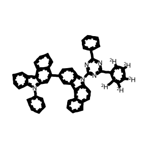 [2H]c1c([2H])c([2H])c(-c2nc(-c3ccccc3)nc(-n3c4ccc(-c5cc6c(c7ccccc57)c5ccccc5n6-c5ccccc5)cc4c4c5ccccc5ccc43)n2)c([2H])c1[2H]